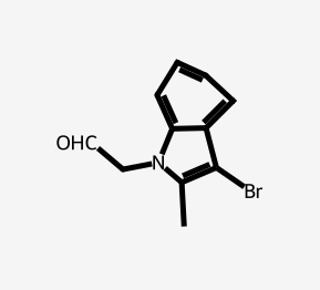 Cc1c(Br)c2ccccc2n1CC=O